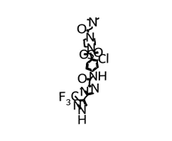 CN(C)CC(=O)N1CCN(S(=O)(=O)c2ccc(NC(=O)c3ncc(-c4c[nH]nc4C(F)(F)F)n3C)cc2Cl)CC1